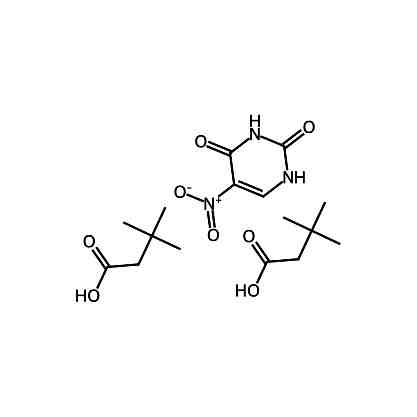 CC(C)(C)CC(=O)O.CC(C)(C)CC(=O)O.O=c1[nH]cc([N+](=O)[O-])c(=O)[nH]1